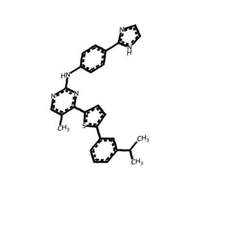 Cc1cnc(Nc2ccc(-c3ncc[nH]3)cc2)nc1-c1ccc(-c2cccc(C(C)C)c2)s1